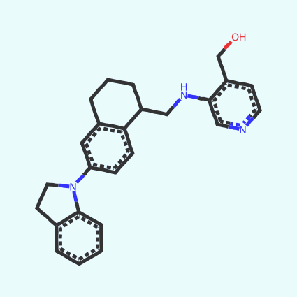 OCc1ccncc1NCC1CCCc2cc(N3CCc4ccccc43)ccc21